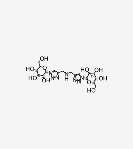 OC[C@H]1O[C@H](n2cc(CNCc3cn([C@H]4O[C@H](CO)[C@@H](O)[C@H](O)[C@@H]4O)nn3)nn2)[C@@H](O)[C@@H](O)[C@@H]1O